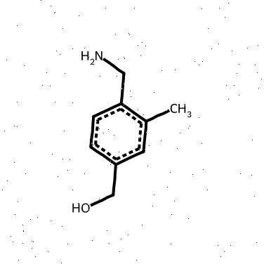 Cc1cc(CO)ccc1CN